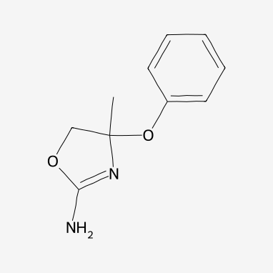 CC1(Oc2ccccc2)COC(N)=N1